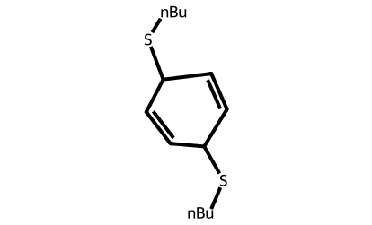 CCCCSC1C=CC(SCCCC)C=C1